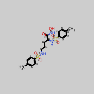 Cc1ccc(S(=O)(=O)NCCCC(NS(=O)(=O)c2ccc(C)cc2)C(=O)NO)cc1